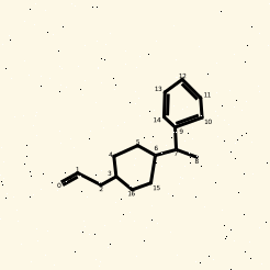 C=CCC1CCC(C(C)c2ccccc2)CC1